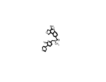 [2H]c1nc(CN(C)C(=O)c2ccc3nc(N)c4c(c3c2)COC4)ccc1C1=CCN=CC1